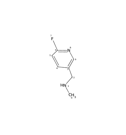 CN[CH]c1ccc(F)nc1